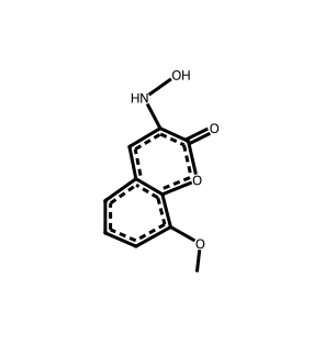 COc1cccc2cc(NO)c(=O)oc12